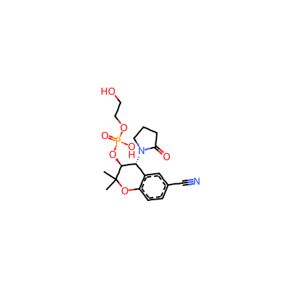 CC1(C)Oc2ccc(C#N)cc2[C@@H](N2CCCC2=O)[C@@H]1OP(=O)(O)OCCO